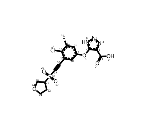 O=C(O)c1nn[nH]c1Oc1cc(F)c(Cl)c(C#CS(=O)(=O)C2CCOC2)c1